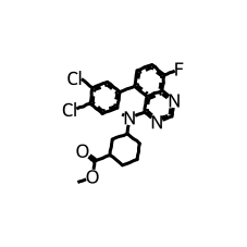 COC(=O)C1CCCC(N(C)c2ncnc3c(F)ccc(-c4ccc(Cl)c(Cl)c4)c23)C1